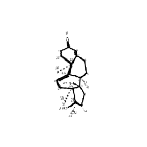 C[C@H]1C[C@H]2[C@@H]3CCC4=CC(=O)CC[C@]4(C)C3=CC[C@]2(C)[C@@]1(O)C#N